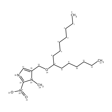 CCCCCCCC(CCCCCC)OCc1cnc([N+](=O)[O-])n1C